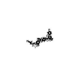 COc1cc2c(Oc3ccc(NC(=O)c4c5c(cn(-c6ccc(F)cc6)c4=O)CCO5)cc3F)ccnc2cc1OCCN1CC(C#N)C1